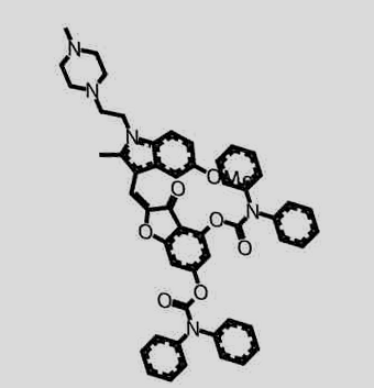 COc1ccc2c(c1)c(C=C1Oc3cc(OC(=O)N(c4ccccc4)c4ccccc4)cc(OC(=O)N(c4ccccc4)c4ccccc4)c3C1=O)c(C)n2CCN1CCN(C)CC1